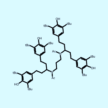 CC(=O)N(CCCN(C(C)=O)C(CCc1cc(C(C)(C)C)c(O)c(C(C)(C)C)c1)CCc1cc(C(C)(C)C)c(O)c(C(C)(C)C)c1)C(CCc1cc(C(C)(C)C)c(O)c(C(C)(C)C)c1)CCc1cc(C(C)(C)C)c(O)c(C(C)(C)C)c1